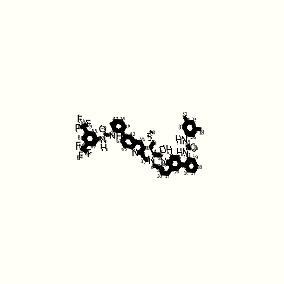 CSCC[C@@H](CO)N(Cc1ccc2cc(-c3ccccc3NC(=O)Nc3cc(C)cc(C)c3)ccc2n1)Cc1ccc2cc(-c3ccccc3NC(=O)Nc3cc(C(F)(F)F)cc(C(F)(F)F)c3)ccc2n1